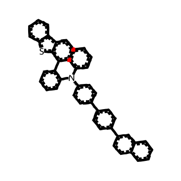 c1ccc(N(c2ccc(-c3ccc(-c4ccc5ccccc5c4)cc3)cc2)c2ccccc2-c2cccc3c2sc2ccccc23)cc1